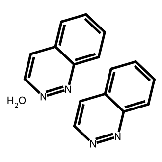 O.c1ccc2nnccc2c1.c1ccc2nnccc2c1